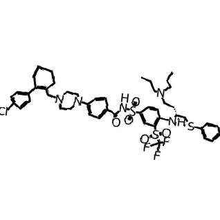 CCCN(CCC)CC[C@H](CSc1ccccc1)Nc1ccc(S(=O)(=O)NC(=O)c2ccc(N3CCN(CC4=C(c5ccc(Cl)cc5)CCCC4)CC3)cc2)cc1S(=O)(=O)C(F)(F)F